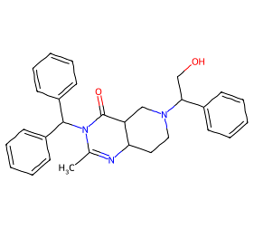 CC1=NC2CCN(C(CO)c3ccccc3)CC2C(=O)N1C(c1ccccc1)c1ccccc1